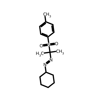 Cc1ccc(S(=O)(=O)C(C)(C)N=NC2CCCCC2)cc1